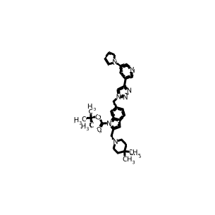 CC1(C)CCN(Cc2cc3ccc(Cn4cc(-c5cncc(N6CCCC6)c5)nn4)cc3n2C(=O)OC(C)(C)C)CC1